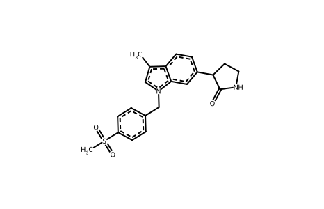 Cc1cn(Cc2ccc(S(C)(=O)=O)cc2)c2cc(C3CCNC3=O)ccc12